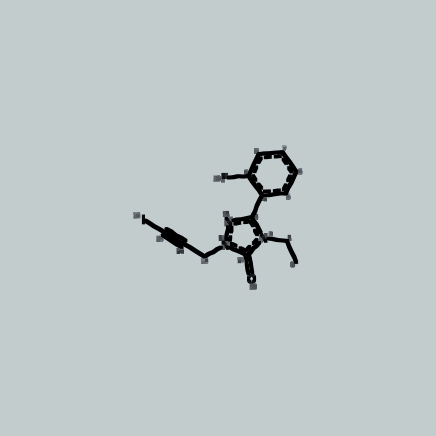 CCn1c(-c2ccccc2F)nn(CC#CI)c1=O